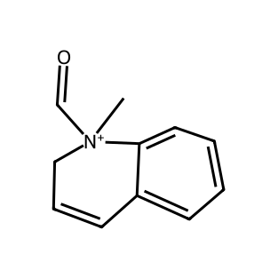 C[N+]1(C=O)CC=Cc2ccccc21